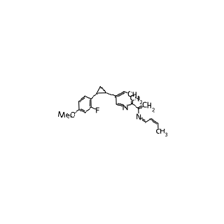 C=C(/N=C\C=C/C)C(=C)/N=C\C(=C/C)C1CC1c1ccc(OC)cc1F